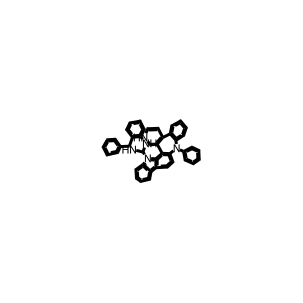 C1=CC2=C(CN1)c1c(ccc3c4ccccc4n(C4Nc5ccccc5C(c5ccccc5)N4)c13)N(c1ccccc1)c1ccccc12